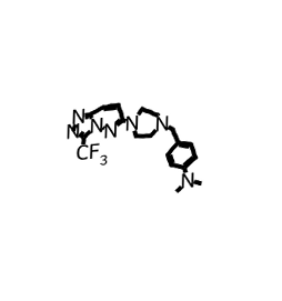 CN(C)c1ccc(CN2CCN(c3ccc4nnc(C(F)(F)F)n4n3)CC2)cc1